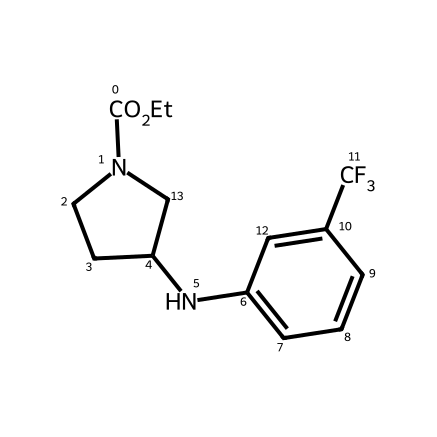 CCOC(=O)N1CCC(Nc2cccc(C(F)(F)F)c2)C1